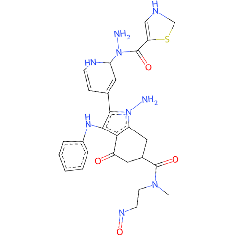 CN(CCN=O)C(=O)C1CC(=O)c2c(Nc3ccccc3)c(C3=CC(N(N)C(=O)C4=CNCS4)NC=C3)n(N)c2C1